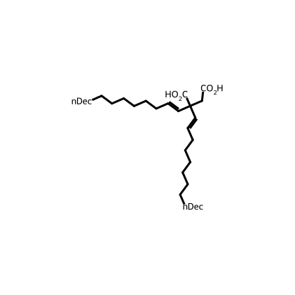 CCCCCCCCCCCCCCCCC=CC(C=CCCCCCCCCCCCCCCCC)(CC(=O)O)C(=O)O